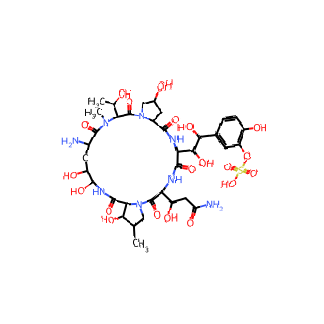 CC(O)C1C(=O)N2CC(O)CC2C(=O)NC(C(O)C(O)c2ccc(O)c(OS(=O)(=O)O)c2)C(=O)NC(C(O)CC(N)=O)C(=O)N2CC(C)C(O)C2C(=O)NC(O)C(O)CC(N)C(=O)N1C